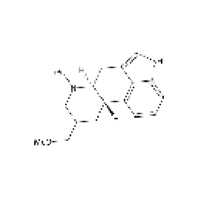 CCCN1CC(COC)C[C@H]2c3cccc4[nH]cc(c34)C[C@@H]21